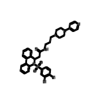 O=C(CC1c2ccccc2-c2ccccc2N1S(=O)(=O)c1ccc(Cl)c(Cl)c1)NCCCN1CCN(c2ccncc2)CC1